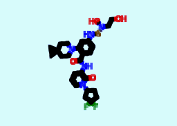 O=C(Nc1cccn(C2CCC(F)(F)C2)c1=O)c1ccc(NSN(O)CCO)cc1N1CCC2(CC1)CC2